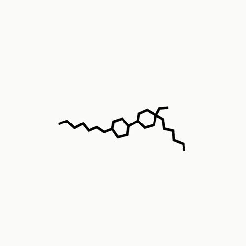 CCCCCCCC1CCC(C2CCC(CC)(CCCCCC)CC2)CC1